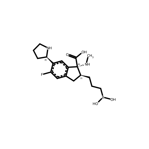 CN[C@@]1(C(=O)O)c2cc([C@H]3CCCN3)c(F)cc2C[C@@H]1CCCB(O)O